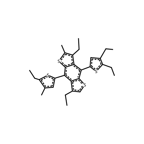 CCc1cc(-c2c3scc(CC)c3c(-c3cc(C)c(CC)s3)c3sc(C)c(CC)c23)sc1CC